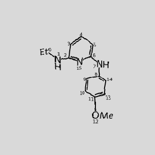 CCNc1cccc(Nc2ccc(OC)cc2)n1